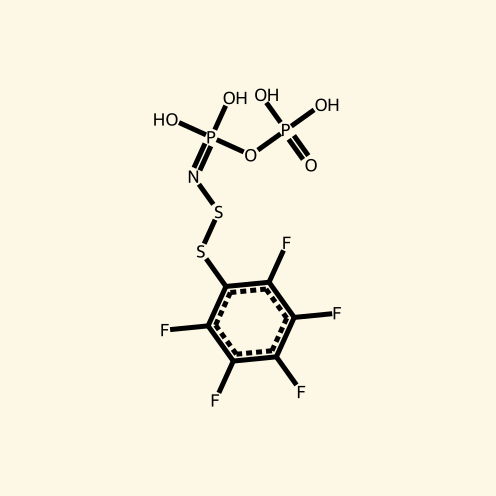 O=P(O)(O)OP(O)(O)=NSSc1c(F)c(F)c(F)c(F)c1F